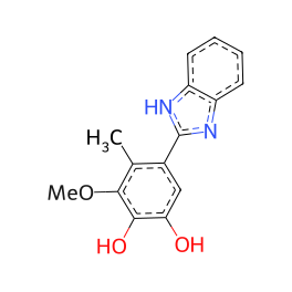 COc1c(C)c(-c2nc3ccccc3[nH]2)cc(O)c1O